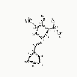 O=[N+]([O-])c1cc(C=Cc2ccncc2)cc(O)c1O